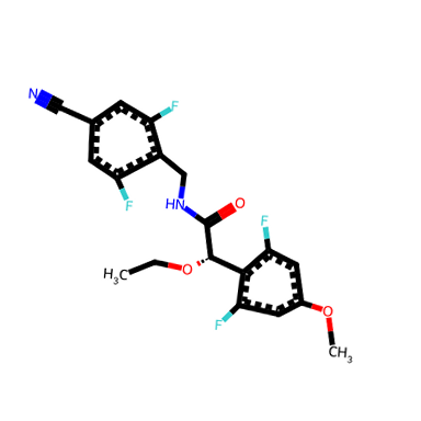 CCO[C@H](C(=O)NCc1c(F)cc(C#N)cc1F)c1c(F)cc(OC)cc1F